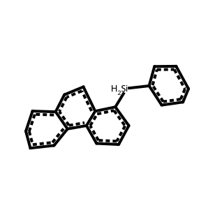 c1ccc([SiH2]c2cccc3c2ccc2ccccc23)cc1